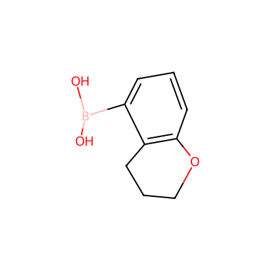 OB(O)c1cccc2c1CCCO2